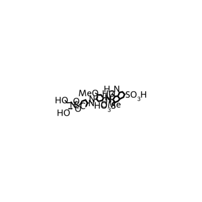 COc1cc(N=Nc2c(S(=O)(=O)O)cc3cc(S(=O)(=O)O)cc(N)c3c2O)c(OC)cc1N=Nc1ccc(S(=O)(=O)N(CCO)CCO)cc1